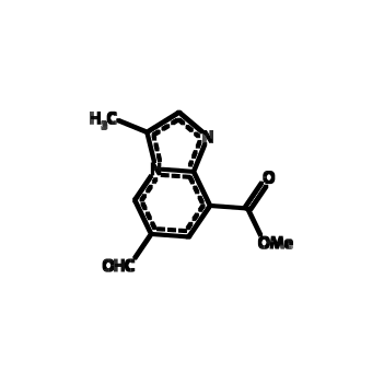 COC(=O)c1cc(C=O)cn2c(C)cnc12